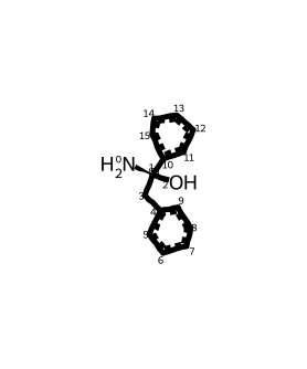 N[C@@](O)(Cc1ccccc1)c1ccccc1